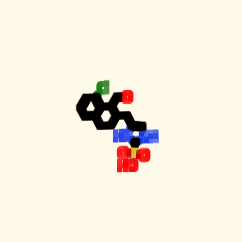 O=CC1c2c(Cl)cccc2CCC1CC1=CNC(S(=O)(=O)O)N1